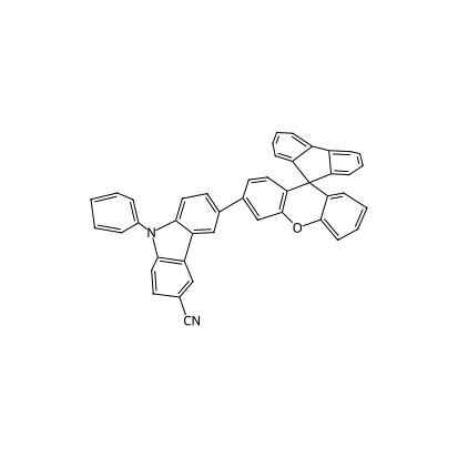 N#Cc1ccc2c(c1)c1cc(-c3ccc4c(c3)Oc3ccccc3C43c4ccccc4-c4ccccc43)ccc1n2-c1ccccc1